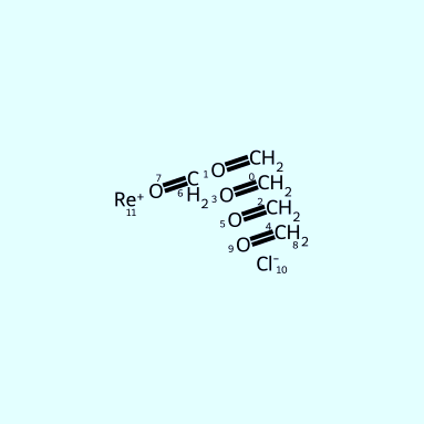 C=O.C=O.C=O.C=O.C=O.[Cl-].[Re+]